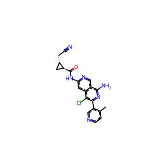 Cc1ccncc1-c1nc(N)c2cnc(NC(=O)[C@H]3C[C@@H]3CC#N)cc2c1Cl